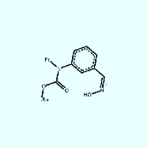 CCN(C(=O)OC(C)(C)C)c1cccc(/C=N\O)c1